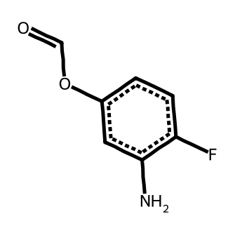 Nc1cc(OC=O)ccc1F